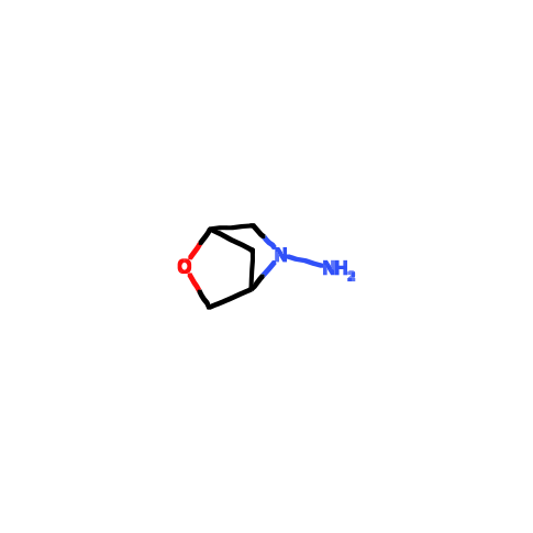 NN1CC2CC1CO2